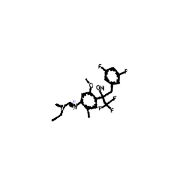 CCN(C)/C=N/c1cc(OC)c(C(O)(Cc2cc(F)cc(F)c2)C(F)(F)F)cc1C